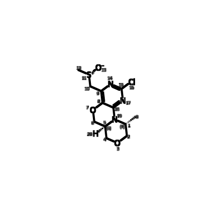 C[C@@H]1COC[C@H]2COc3c(C[S+](C)[O-])nc(Cl)nc3N21